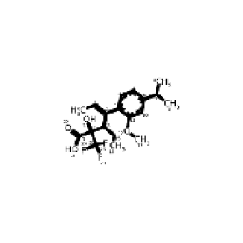 CC=C(c1ccc(C(C)C)cc1OC)C(CC)C(O)(C(=O)O)C(F)(F)F